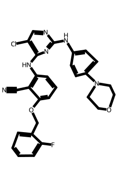 N#Cc1c(Nc2nc(Nc3ccc(N4CCOCC4)cc3)ncc2Cl)cccc1OCc1ccccc1F